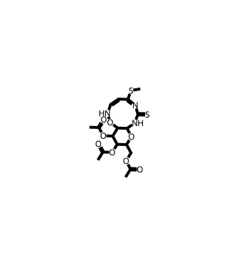 CSC1=N/C(=S)NC2OC(COC(C)=O)C(OC(C)=O)C(OC(C)=O)C2ON/C=C\1